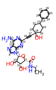 CCNC(=O)[C@H]1O[C@@H](n2cnc3c(N)nc(C#CC4(O)CCC(c5ccccc5)CC4)nc32)C(O)[C@H]1O